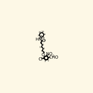 O=Cc1ccc(Cl)c(OCCCCCCC(=O)NN2CCCCC2)c1[N+](=O)[O-]